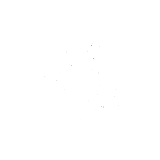 C=CC(=O)Nc1cc(CNc2nc(Nc3cc(OC)cc(OC)c3)c(C(N)=O)c3nccn23)ccc1Cl